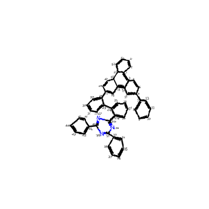 C1=CC2=c3ccc(-c4ccccc4)cc3=C3C=C(c4ccccc4-c4ccccc4-c4nc(-c5ccccc5)nc(-c5ccccc5)n4)C=CC3C2C=C1